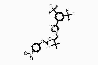 CC(C)(C)C(Cn1cnc(-c2cc(C(F)(F)F)cc(C(F)(F)F)c2)c1)OC(=O)Oc1ccc([N+](=O)[O-])cc1